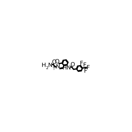 C[C@H](C(N)=O)n1ccc2c(NC(=O)Cc3ccc(C(F)(F)F)c(F)c3)cccc2c1=O